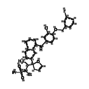 CCN(C(C)C1(c2cc3c(Nc4ccc(OCc5cccc(F)c5)c(Cl)c4)ncnc3cn2)CC=CO1)S(=O)(=O)C(C)C